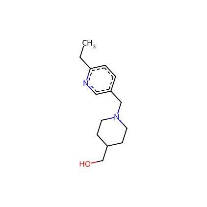 CCc1ccc(CN2CCC(CO)CC2)cn1